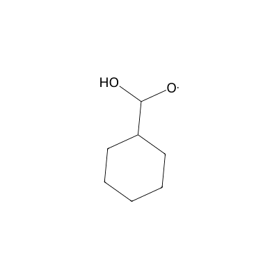 [O]C(O)C1CCCCC1